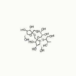 CC(O)C(CO)O[C@H](O[C@]1(CO[C@]2(CO)O[C@H](CO)C(O)C2O)O[C@H](CO)C(O)C1O)C(O)CO